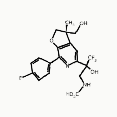 C[C@]1(CO)COc2c1cc(C(O)(CNC(=O)O)C(F)(F)F)nc2-c1ccc(F)cc1